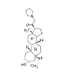 C[C@]1(O)CC[C@H]2[C@H](CC[C@@H]3[C@@H]2CC[C@]2(C)[C@@H](C(=O)CN4CCCC4)CC[C@@H]32)C1